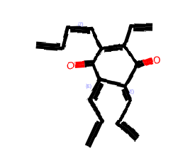 C=C/C=C\C1=C(C=C)C(=O)C(=C/C=C)/C(=C\C=C)C1=O